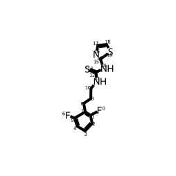 Fc1cccc(F)c1CCCNC(=S)Nc1nccs1